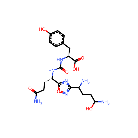 NC(=O)CC[C@H](NC(=O)N[C@@H](Cc1ccc(O)cc1)C(=O)O)c1nc([C@@H](N)CCC(N)O)no1